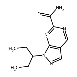 CCC(CC)n1ncc2cnc(C(N)=O)nc21